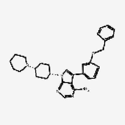 Nc1ncnc2c1c(-c1cccc(OCc3ccccc3)c1)cn2[C@H]1CC[C@@H](N2CCCCC2)CC1